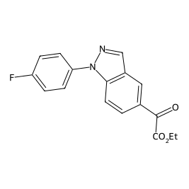 CCOC(=O)C(=O)c1ccc2c(cnn2-c2ccc(F)cc2)c1